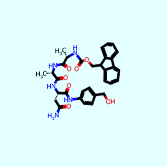 C[C@H](NC(=O)OCC1c2ccccc2-c2ccccc21)C(=O)N[C@@H](C)C(=O)N[C@@H](CC(N)=O)C(=O)Nc1ccc(CO)cc1